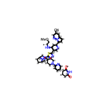 COC[C@@H](C)Nc1cc(-c2ccc3cc(C#N)cnn23)ncc1-c1nnc(N2CC3CCC(C2)N3CC2CCN(c3ccc([C@H]4CCC(=O)NC4=O)cn3)CC2)s1